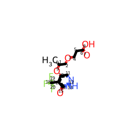 CC(COCCC(=O)O)Oc1cn[nH]c(=O)c1C(F)(F)F